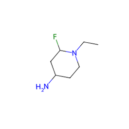 CCN1CCC(N)CC1F